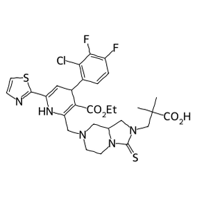 CCOC(=O)C1=C(CN2CCN3C(=S)N(CC(C)(C)C(=O)O)CC3C2)NC(c2nccs2)=CC1c1ccc(F)c(F)c1Cl